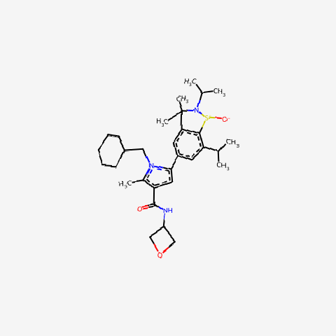 Cc1c(C(=O)NC2COC2)cc(-c2cc(C(C)C)c3c(c2)C(C)(C)N(C(C)C)[S+]3[O-])n1CC1CCCCC1